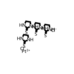 S=C1NCCN1.S=C1NCCN1.S=C1NCCN1.S=C1NCCN1.[Cl-].[Cl-].[Pt+2]